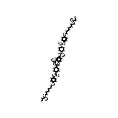 C=CC(=O)OCCCCCCOc1ccc(OC(=O)C2CCC(C(=O)Oc3ccc(OC(=O)[C@H]4CC[C@@H](C(=O)Oc5ccc(OCCCCCCOC(=O)C=C)cc5)CC4)cc3C=O)CC2)cc1